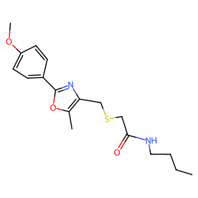 CCCCNC(=O)CSCc1nc(-c2ccc(OC)cc2)oc1C